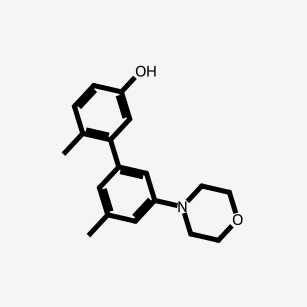 Cc1cc(-c2cc(O)ccc2C)cc(N2CCOCC2)c1